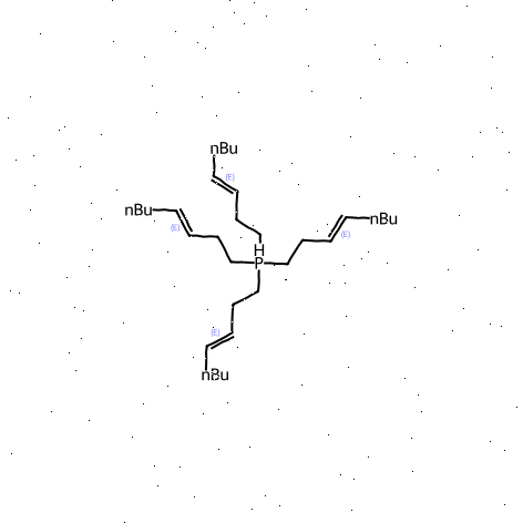 CCCC/C=C/CC[PH](CC/C=C/CCCC)(CC/C=C/CCCC)CC/C=C/CCCC